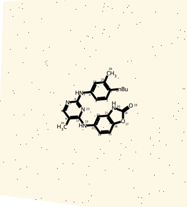 CCCCc1ccc(Nc2ncc(C)c(Nc3ccc4oc(=O)[nH]c4c3)n2)cc1C